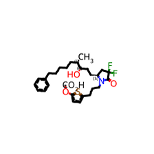 C[C@@H](CCCCCc1ccccc1)[C@H](O)CC[C@H]1CC(F)(F)C(=O)N1CCCc1ccc(OC(=O)O)s1